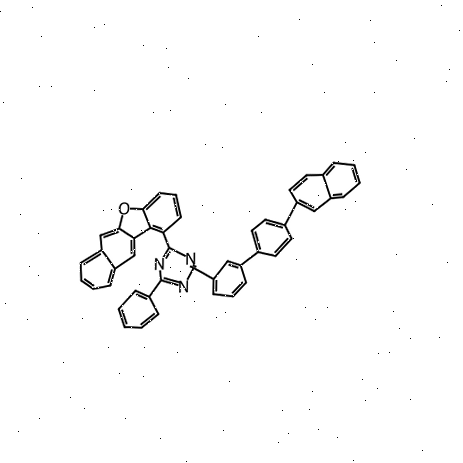 c1ccc(-c2nc(-c3cccc(-c4ccc(-c5ccc6ccccc6c5)cc4)c3)nc(-c3cccc4oc5cc6ccccc6cc5c34)n2)cc1